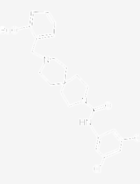 CC(C)COc1ccccc1CN1CCC2(CC1)CCN(C(=O)Nc1cc(Cl)cc(Cl)c1)CC2